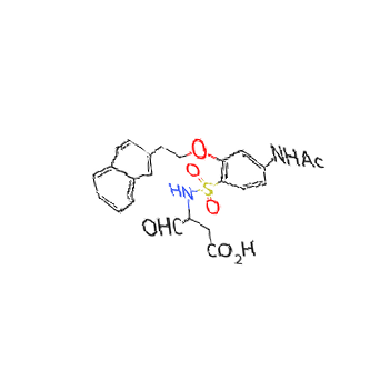 CC(=O)Nc1ccc(S(=O)(=O)NC(C=O)CC(=O)O)c(OCCc2ccc3ccccc3c2)c1